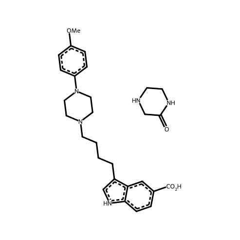 COc1ccc(N2CCN(CCCCc3c[nH]c4ccc(C(=O)O)cc34)CC2)cc1.O=C1CNCCN1